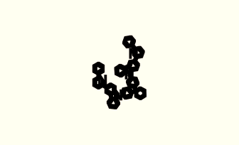 c1ccc(-c2cccc(-c3ccc4c(c3)c3ccccc3n4-c3ccc(C4(c5ccc(-n6c7ccccc7c7cc(-c8cccc(-c9ccccc9)n8)ccc76)cc5)CCCCC4)cc3)n2)cc1